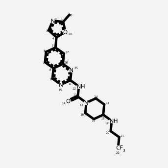 Cc1ncc(-c2ccc3cnc(NC(=O)N4CCC(NCCC(F)(F)F)CC4)nc3c2)o1